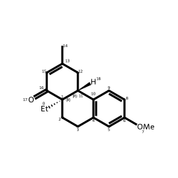 CC[C@@]12CCc3cc(OC)ccc3[C@H]1CC(C)=CC2=O